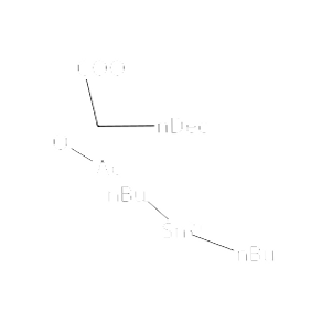 CC(=O)[O-].CCCCCCCCCCCC(=O)[O-].CCC[CH2][Sn+2][CH2]CCC